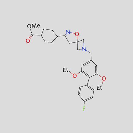 CCOc1cc(CN2CC3(CC([C@H]4CC[C@@H](C(=O)OC)CC4)=NO3)C2)cc(OCC)c1-c1ccc(F)cc1